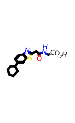 O=C(O)CNC(=O)Cc1nc2ccc(C3CCCCC3)cc2s1